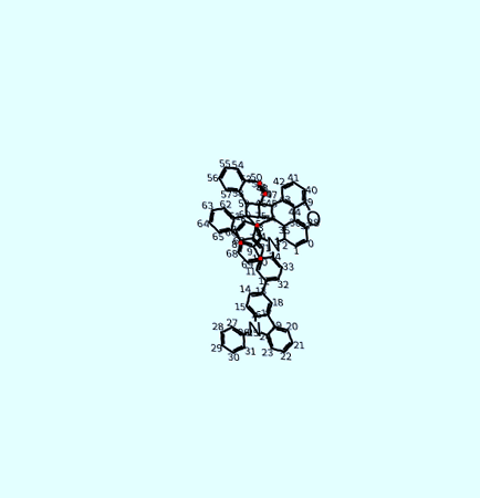 C1=CC(n2c3ccccc3c3cc(-c4ccc5c(c4)c4ccccc4n5-c4ccccc4)ccc32)C2c3c1oc1cccc(c31)C1C34c5ccccc5-c5ccccc5C3C35c6ccccc6-c6ccccc6C3C21C54